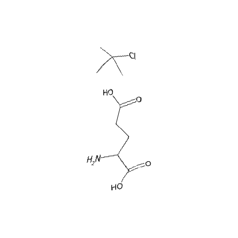 CC(C)(C)Cl.NC(CCC(=O)O)C(=O)O